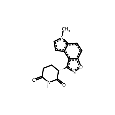 Cn1ccc2c3c([C@H]4CCC(=O)NC4=O)noc3ccc21